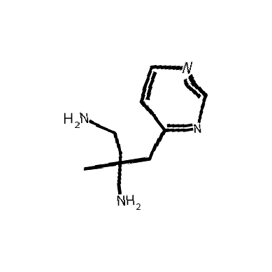 CC(N)(CN)Cc1ccncn1